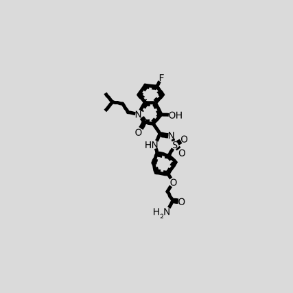 CC(C)CCn1c(=O)c(C2=NS(=O)(=O)c3cc(OCC(N)=O)ccc3N2)c(O)c2cc(F)ccc21